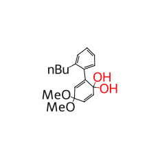 CCCCc1ccccc1C1=CC(OC)(OC)C=CC1(O)O